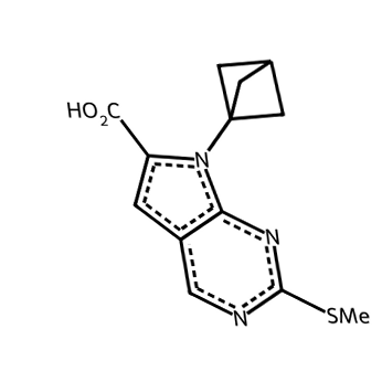 CSc1ncc2cc(C(=O)O)n(C34CC(C3)C4)c2n1